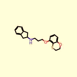 c1ccc2c(c1)CC(NCCCOc1cccc3c1SCCO3)C2